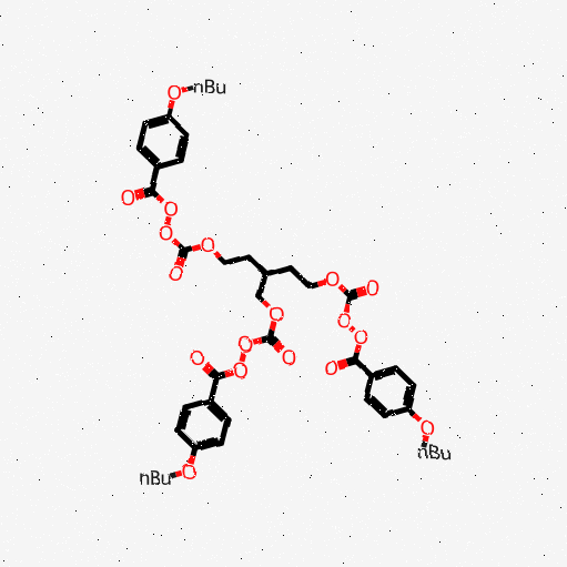 CCCCOc1ccc(C(=O)OOC(=O)OCCC(CCOC(=O)OOC(=O)c2ccc(OCCCC)cc2)COC(=O)OOC(=O)c2ccc(OCCCC)cc2)cc1